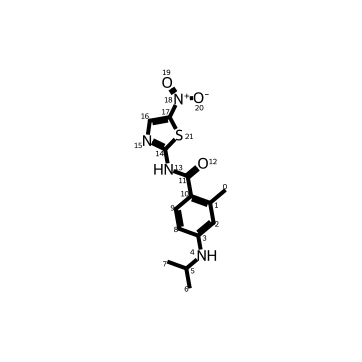 Cc1cc(NC(C)C)ccc1C(=O)Nc1ncc([N+](=O)[O-])s1